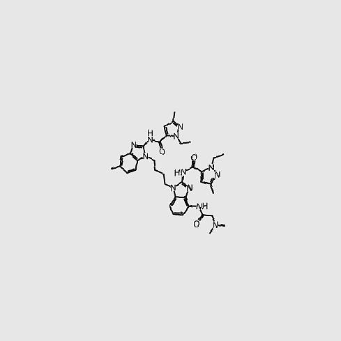 CCn1nc(C)cc1C(=O)Nc1nc2cc(C)ccc2n1CCCCn1c(NC(=O)c2cc(C)nn2CC)nc2c(NC(=O)CN(C)C)cccc21